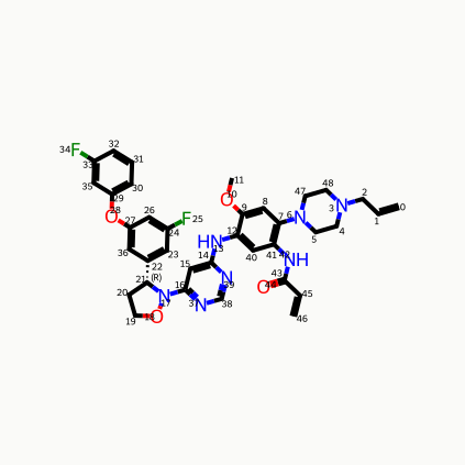 C=CCN1CCN(c2cc(OC)c(Nc3cc(N4OCC[C@@H]4c4cc(F)cc(Oc5cccc(F)c5)c4)ncn3)cc2NC(=O)C=C)CC1